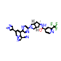 Cn1cc(-c2cc(-c3cnc(N4C[C@@H]5C[C@@](C)(NC(=O)c6ccnc(C(F)(F)F)c6)C[C@@H]5C4)cn3)c3c(C#N)cnn3c2)cn1